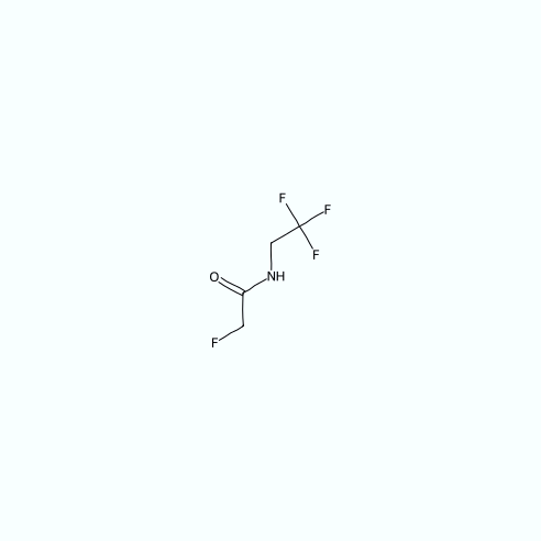 O=C(CF)NCC(F)(F)F